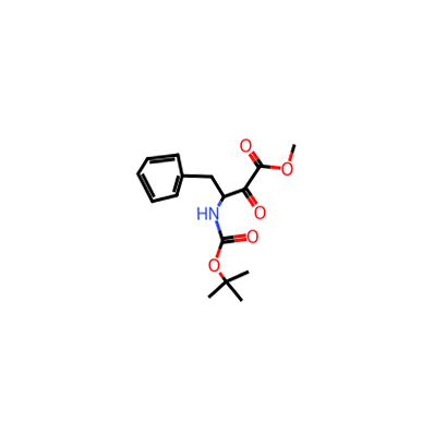 COC(=O)C(=O)C(Cc1ccccc1)NC(=O)OC(C)(C)C